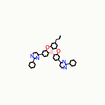 C=CCc1cc2c3c(c1)Oc1cc(-c4ccnc(-c5ccccc5)n4)ccc1B3c1ccc(-c3ccnc(-c4ccccc4)n3)cc1O2